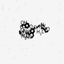 CC1(c2cn(CCOc3cc4c(cc3Oc3ccc(C(=O)O)c(F)c3)[C@@](C)(CC(=O)Nc3nccs3)NCC4)nn2)CCOC1